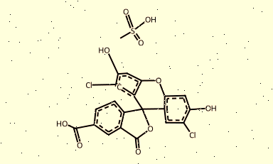 CS(=O)(=O)O.O=C(O)c1ccc2c(c1)C(=O)OC21c2cc(Cl)c(O)cc2Oc2cc(O)c(Cl)cc21